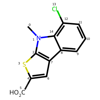 Cn1c2sc(C(=O)O)cc2c2cccc(Cl)c21